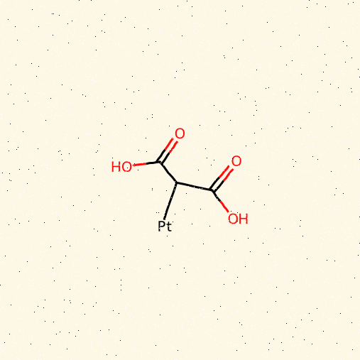 O=C(O)[CH]([Pt])C(=O)O